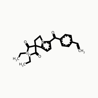 C=Cc1ccc(C(=O)c2ccc3n2CCC3(C(=O)OCC)C(=O)OCC)cc1